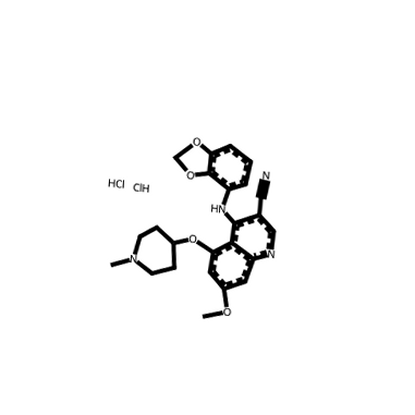 COc1cc(OC2CCN(C)CC2)c2c(Nc3cccc4c3OCO4)c(C#N)cnc2c1.Cl.Cl